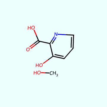 CO.O=C(O)c1ncccc1O